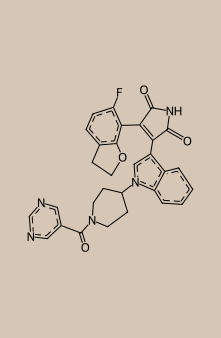 O=C1NC(=O)C(c2cn(C3CCN(C(=O)c4cncnc4)CC3)c3ccccc23)=C1c1c(F)ccc2c1OCC2